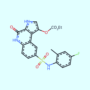 CCOC(=O)Oc1c[nH]c2c(=O)[nH]c3ccc(S(=O)(=O)Nc4ccc(F)cc4C)cc3c12